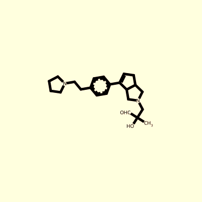 CC(O)(C=O)CN1CC2CC=C(c3ccc(CCN4CCCC4)cc3)C2C1